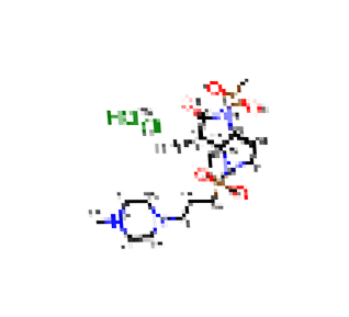 CCC[C@H]1C(=O)N(S(C)(=O)=O)C2=CCN(S(=O)(=O)CCCN3CCN(C)CC3)[C@@H]21.Cl.Cl